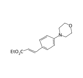 CCOC(=O)/C=C/c1ccc(N2CCOCC2)cc1